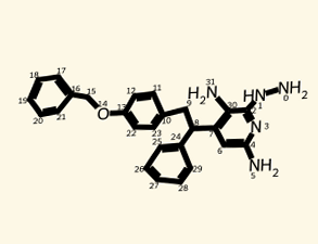 NNc1nc(N)cc(C(Cc2ccc(OCc3ccccc3)cc2)c2ccccc2)c1N